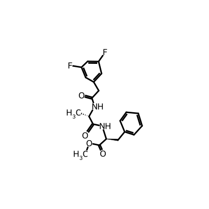 COC(=O)[C@H](Cc1ccccc1)NC(=O)[C@H](C)NC(=O)Cc1cc(F)cc(F)c1